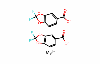 O=C([O-])c1ccc2c(c1)OC(F)(F)O2.O=C([O-])c1ccc2c(c1)OC(F)(F)O2.[Mg+2]